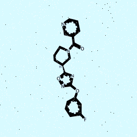 O=C(c1cccnc1)N1CCC[C@H](c2nc(Oc3cccc(F)c3)no2)C1